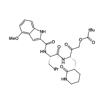 COc1cccc2[nH]c(C(=O)N[C@@H](CC(C)C)C(=O)N[C@@H](C[C@@H]3CCCNC3=O)C(=O)COC(=O)C(C)(C)C)cc12